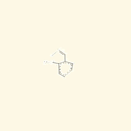 C/N=C\c1ccccc1SC